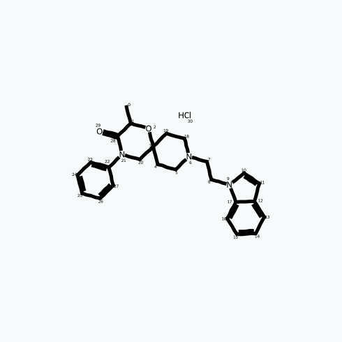 CC1OC2(CCN(CCn3ccc4ccccc43)CC2)CN(c2ccccc2)C1=O.Cl